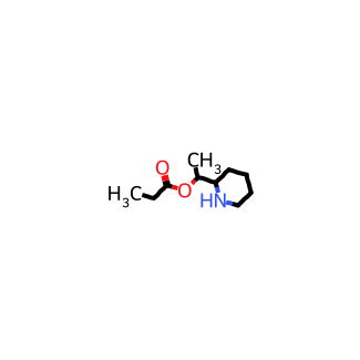 CCC(=O)OC(C)C1CCCCN1